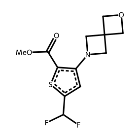 COC(=O)c1sc(C(F)F)cc1N1CC2(COC2)C1